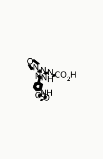 CS(=O)(=O)Nc1cccc(-c2nc(NCC(=O)O)nc(N3CCOCC3)n2)c1